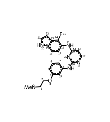 CNCCOc1cccc(Nc2nccc(Nc3ccc4[nH]ccc4c3F)n2)c1